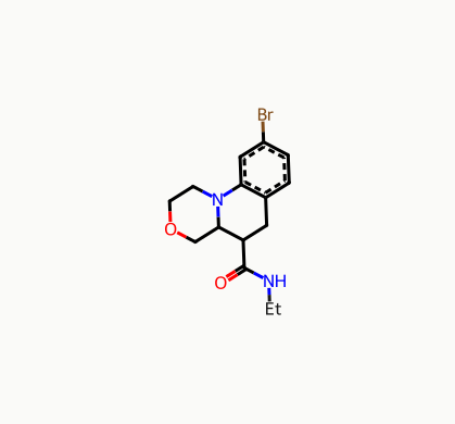 CCNC(=O)C1Cc2ccc(Br)cc2N2CCOCC12